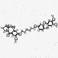 COc1ccc(Oc2cc(OCCCCCCOc3cc4c(cc3OC)C(=O)N3CCC[C@H]3C=N4)ccc2I)cc1OC